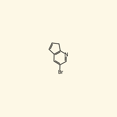 Brc1cnc2c(c1)C=CC2